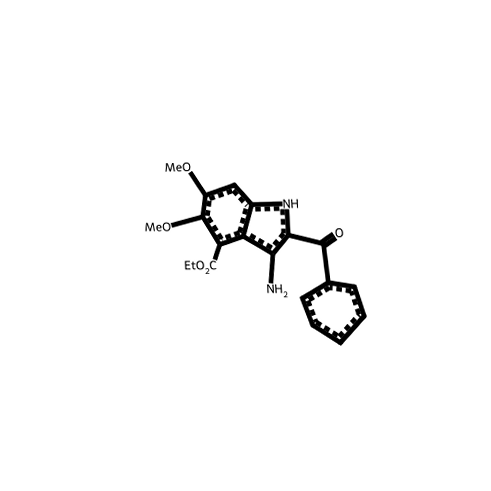 CCOC(=O)c1c(OC)c(OC)cc2[nH]c(C(=O)c3ccccc3)c(N)c12